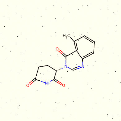 Cc1cccc2ncn([C@H]3CCC(=O)NC3=O)c(=O)c12